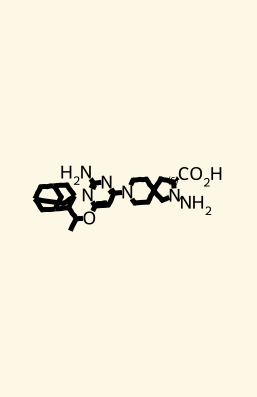 CC(Oc1cc(N2CCC3(CC2)C[C@@H](C(=O)O)N(N)C3)nc(N)n1)C1C2CC3CC(C2)CC1C3